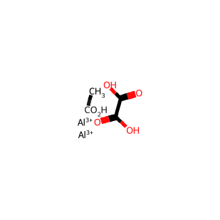 CC(=O)O.O=C(O)C(=O)O.[Al+3].[Al+3]